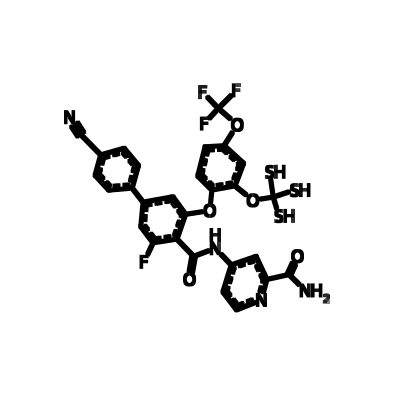 N#Cc1ccc(-c2cc(F)c(C(=O)Nc3ccnc(C(N)=O)c3)c(Oc3ccc(OC(F)(F)F)cc3OC(S)(S)S)c2)cc1